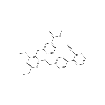 CCc1nc(CC)c(Cc2cccc(C(=O)OC)c2)c(OCc2ccc(-c3ccccc3C#N)cc2)n1